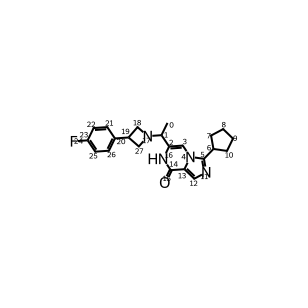 CC(c1cn2c(C3CCCC3)ncc2c(=O)[nH]1)N1CC(c2ccc(F)cc2)C1